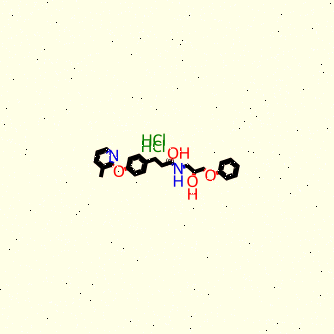 Cc1cccnc1Oc1ccc(CC[C@H](O)NCC(O)COc2ccccc2)cc1.Cl.Cl